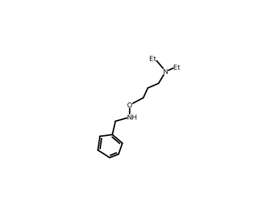 CCN(CC)CCCONCc1ccccc1